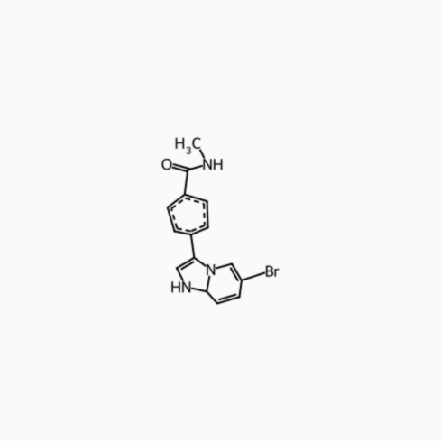 CNC(=O)c1ccc(C2=CNC3C=CC(Br)=CN23)cc1